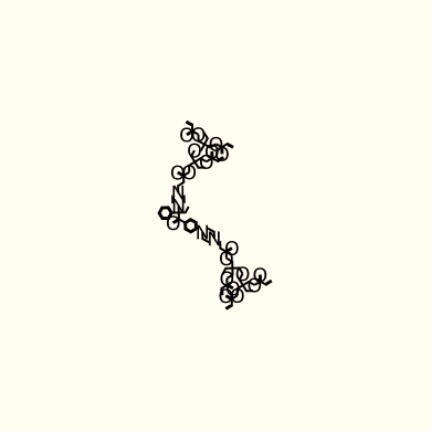 C=CC(=O)OCC(CC)(COCC(CC)(COC(=O)C=C)COC(=O)CCN1CCN(c2ccc(C(=O)C(CC)(c3ccccc3)N3CCN(CCC(=O)OCC(CC)(COCC(CC)(COC(=O)C=C)COC(=O)C=C)COC(=O)C=C)CC3)cc2)CC1)COC(=O)C=C